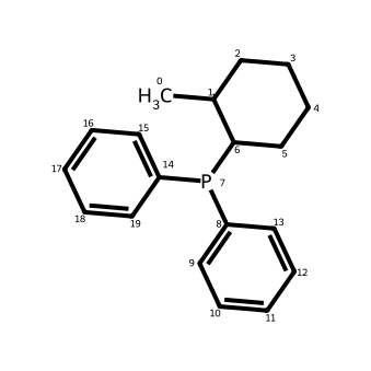 C[C]1CCCCC1P(c1ccccc1)c1ccccc1